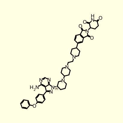 Nc1ncnc2c1c(-c1ccc(Oc3ccccc3)cc1)nn2[C@@H]1CCCN(C2CCN(CCN3CCC(c4ccc5c(c4)C(=O)N(C4CCC(=O)NC4=O)C5=O)CC3)CC2)C1